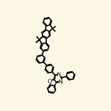 CC1(C)c2ccccc2-c2cc3c(cc21)-c1ccc(-c2cccc(-c4ccc(-c5nc(-c6ccccc6)nc6c5oc5ccccc56)cc4)c2)cc1C3(C)C